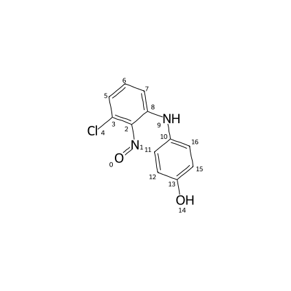 O=Nc1c(Cl)cccc1Nc1ccc(O)cc1